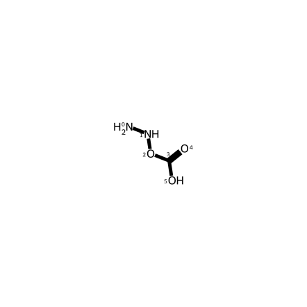 NNOC(=O)O